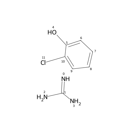 N=C(N)N.Oc1ccccc1Cl